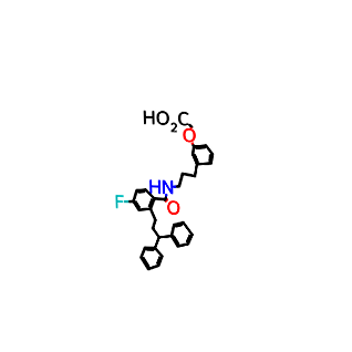 O=C(O)COc1cccc(CCCNC(=O)c2ccc(F)cc2CCC(c2ccccc2)c2ccccc2)c1